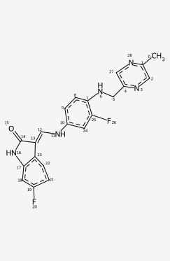 Cc1cnc(CNc2ccc(N/C=C3/C(=O)Nc4cc(F)ccc43)cc2F)cn1